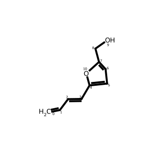 C=CC=Cc1ccc(CO)o1